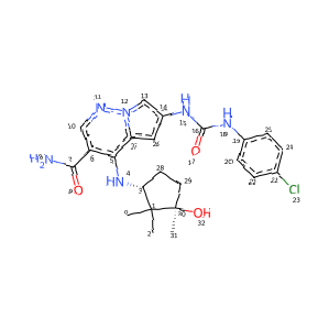 CC1(C)[C@H](Nc2c(C(N)=O)cnn3cc(NC(=O)Nc4ccc(Cl)cc4)cc23)CC[C@@]1(C)O